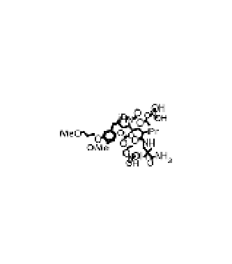 COCCCOc1cc(CC(CC(NC(=O)OC(C)ON(O)O)C(CC(C(=O)NCC(C)(C)C(N)=O)C(C)C)OC(=O)OC(C)ON(O)O)C(C)C)ccc1OC